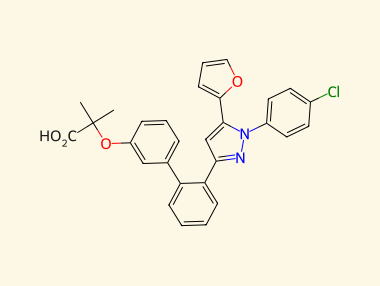 CC(C)(Oc1cccc(-c2ccccc2-c2cc(-c3ccco3)n(-c3ccc(Cl)cc3)n2)c1)C(=O)O